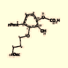 CCCCCCCCCCCCCOc1c(CCCCC)ccc(OC(=O)O)c1O